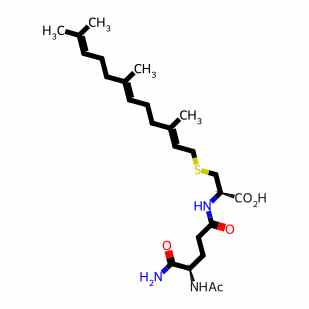 CC(=O)N[C@H](CCC(=O)N[C@@H](CSC/C=C(\C)CC/C=C(\C)CCC=C(C)C)C(=O)O)C(N)=O